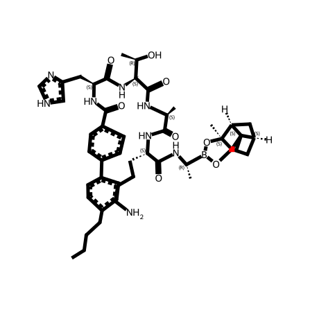 CCCCc1ccc(-c2ccc(C(=O)N[C@@H](Cc3c[nH]cn3)C(=O)N[C@H](C(=O)N[C@@H](C)C(=O)N[C@@H](CCCCN)C(=O)N[C@@H](C)B3OC4C[C@@H]5C[C@@H](C5(C)C)[C@]4(C)O3)[C@@H](C)O)cc2)cc1